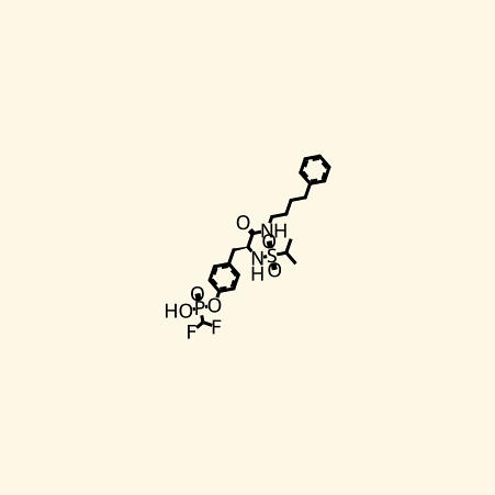 CC(C)S(=O)(=O)N[C@@H](Cc1ccc(OP(=O)(O)C(F)F)cc1)C(=O)NCCCCc1ccccc1